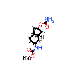 CC(C)(C)OC(=O)NC1CCC2C[C@@H](OC(N)=O)C[C@@H]2C1